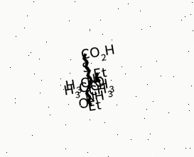 CCC(=O)NCC(C)(C)C(C)(C)N(CCSCCC(=O)O)C(=O)CC